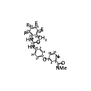 CNC(=O)c1cc(Oc2ccc(NC(=O)Nc3c(C)c(F)c(F)c(F)c3F)cc2)ccn1